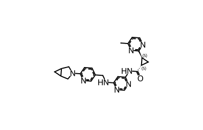 Cc1ccnc([C@H]2C[C@@H]2C(=O)Nc2cc(NCc3ccc(N4CC5CC5C4)nc3)ncn2)n1